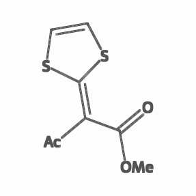 COC(=O)C(C(C)=O)=C1SC=CS1